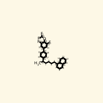 CC(CCCCc1cccc2ccccc12)c1ccc(-c2cc(F)c(OC(F)F)c(F)c2)cc1